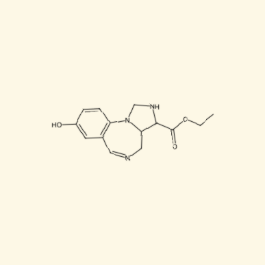 CCOC(=O)C1NCN2c3ccc(O)cc3C=NCC12